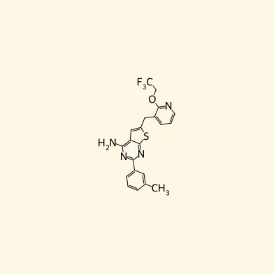 Cc1cccc(-c2nc(N)c3cc(Cc4cccnc4OCC(F)(F)F)sc3n2)c1